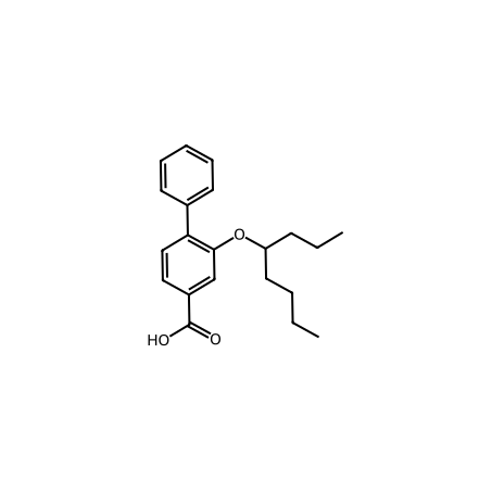 CCCCC(CCC)Oc1cc(C(=O)O)ccc1-c1ccccc1